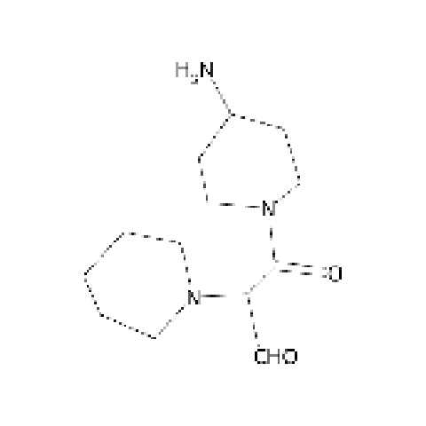 NC1CCN(C(=O)C(C=O)N2CCCCC2)CC1